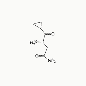 NC(=O)C[C@H](N)C(=O)C1CC1